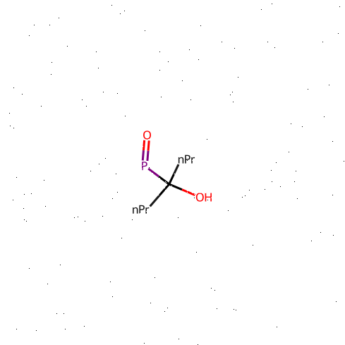 CCCC(O)(CCC)P=O